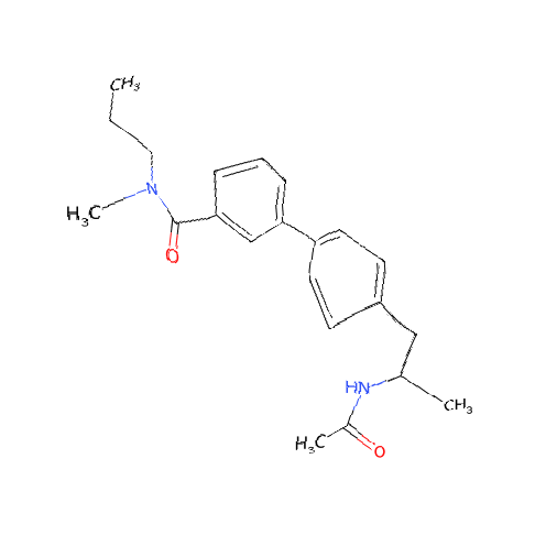 CCCN(C)C(=O)c1cccc(-c2ccc(CC(C)NC(C)=O)cc2)c1